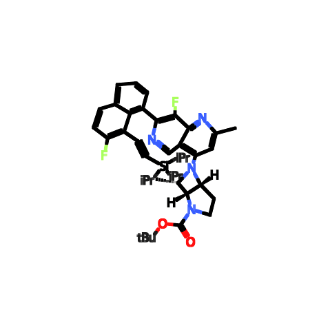 Cc1cc(N2[C@@H]3CCN(C(=O)OC(C)(C)C)[C@@H]3[C@@H]2C)c2cnc(-c3cccc4ccc(F)c(C#C[Si](C(C)C)(C(C)C)C(C)C)c34)c(F)c2n1